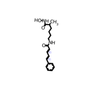 CC(CCCCNC(=O)/C=C/C=C/c1ccccc1)C(=O)NO